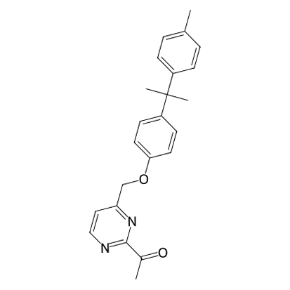 CC(=O)c1nccc(COc2ccc(C(C)(C)c3ccc(C)cc3)cc2)n1